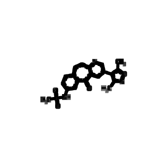 Cc1noc(C)c1-c1cnc2ccc3ccc(NS(C)(=O)=O)cc3c(=O)c2c1